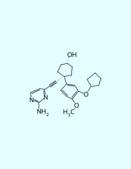 COc1ccc([C@]2(C#Cc3ccnc(N)n3)CC[C@@H](O)CC2)cc1OC1CCCC1